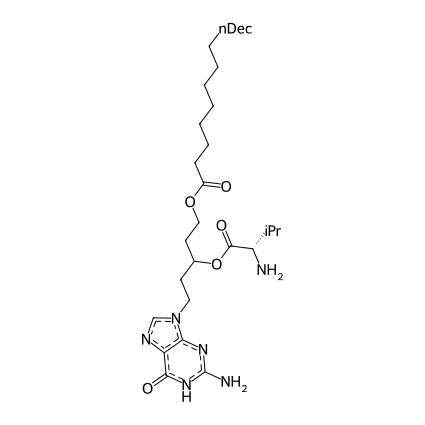 CCCCCCCCCCCCCCCCCC(=O)OCCC(CCn1cnc2c(=O)[nH]c(N)nc21)OC(=O)[C@@H](N)C(C)C